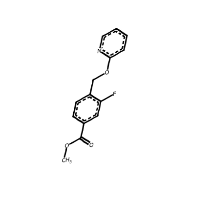 COC(=O)c1ccc(COc2ccccn2)c(F)c1